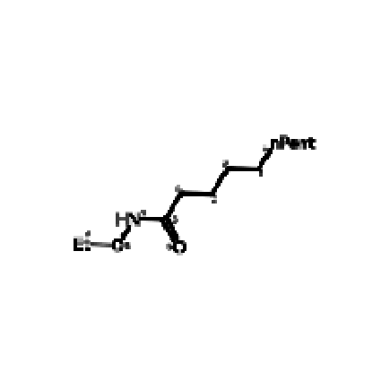 CCCCCCCCCC(=O)NOCC